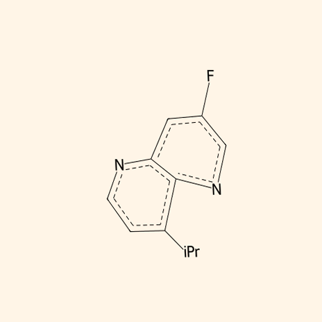 CC(C)c1ccnc2cc(F)cnc12